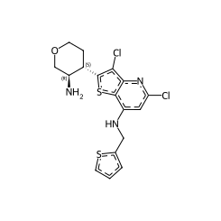 N[C@H]1COCC[C@@H]1c1sc2c(NCc3cccs3)cc(Cl)nc2c1Cl